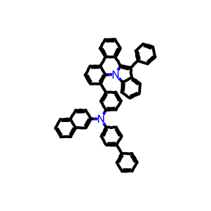 c1ccc(-c2ccc(N(c3cccc(-c4cccc5c6ccccc6c6c(-c7ccccc7)c7ccccc7n6c45)c3)c3ccc4ccccc4c3)cc2)cc1